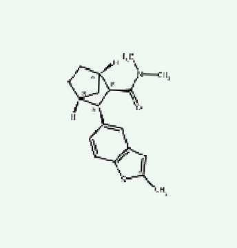 Cc1cc2cc([C@H]3[C@@H]4CC[C@@H](C4)[C@H]3C(=O)N(C)C)ccc2s1